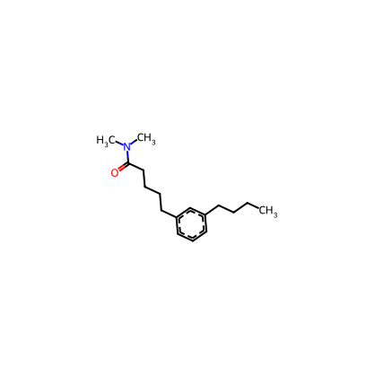 CCCCc1cccc(CCCCC(=O)N(C)C)c1